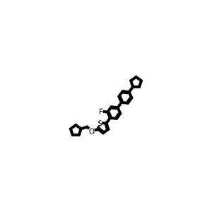 Fc1cc(-c2ccc(C3CCCC3)cc2)ccc1-c1ccc(OCC2CCCC2)s1